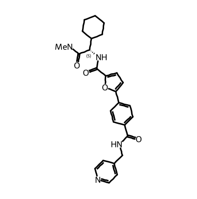 CNC(=O)[C@@H](NC(=O)c1ccc(-c2ccc(C(=O)NCc3ccncc3)cc2)o1)C1CCCCC1